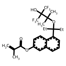 C=C(C)C(=O)Oc1ccc2c(C(CC)(CC)OC(C)(C)C(O)(C(F)(F)F)C(F)(F)F)cccc2c1